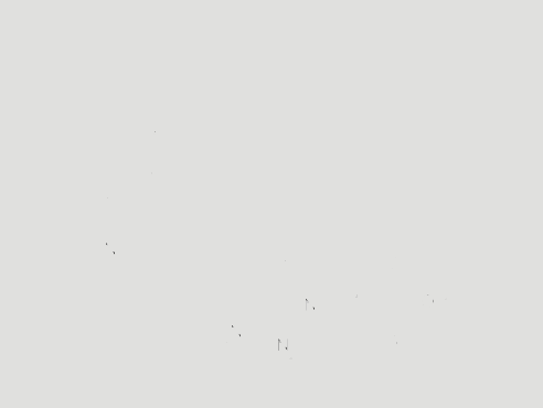 c1ncc(C2CCCC2)cc1-c1cn(C2COC2)nn1